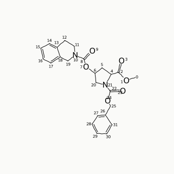 COC(=O)C1CC(OC(=O)N2CCc3ccccc3C2)CN1C(=O)OCc1ccccc1